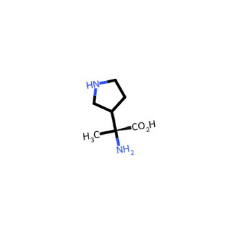 C[C@](N)(C(=O)O)C1CCNC1